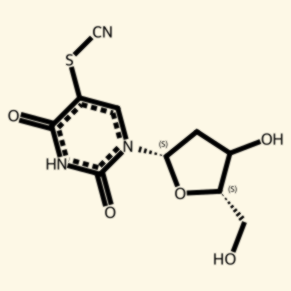 N#CSc1cn([C@@H]2CC(O)[C@H](CO)O2)c(=O)[nH]c1=O